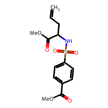 C=CCC(NS(=O)(=O)c1ccc(C(=O)OC)cc1)C(=O)OC